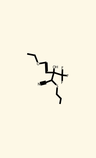 CCCSC(C#N)C(O)(/C=C/OCC)C(F)(F)F